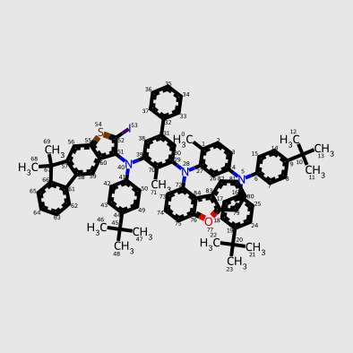 Cc1ccc(N(c2ccc(C(C)(C)C)cc2)c2ccc(C(C)(C)C)cc2)cc1N(c1cc(-c2ccccc2)cc(N(c2ccc(C(C)(C)C)cc2)c2c(I)sc3cc4c(cc23)-c2ccccc2C4(C)C)c1C)c1cccc2oc3ccccc3c12